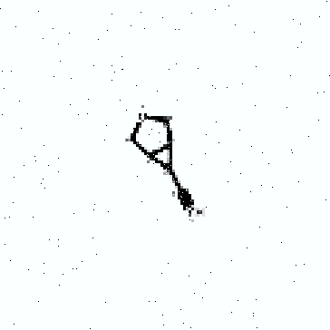 C#CC1C2COCC12